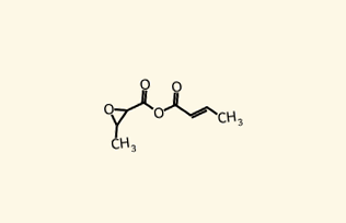 C/C=C/C(=O)OC(=O)C1OC1C